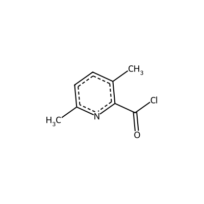 Cc1ccc(C)c(C(=O)Cl)n1